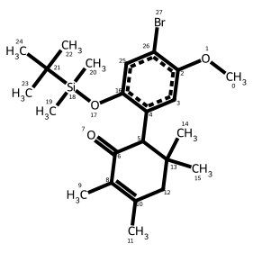 COc1cc(C2C(=O)C(C)=C(C)CC2(C)C)c(O[Si](C)(C)C(C)(C)C)cc1Br